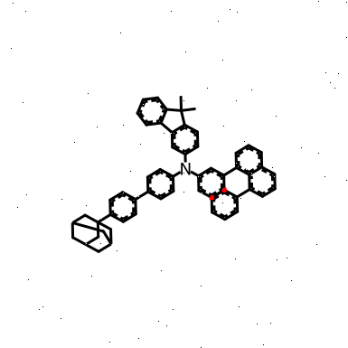 CC1(C)c2ccccc2-c2cc(N(c3ccc(-c4ccc(C56CC7CC(CC(C7)C5)C6)cc4)cc3)c3cccc(-c4cccc5cccc(-c6ccccc6)c45)c3)ccc21